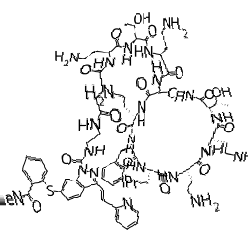 CNC(=O)c1ccccc1Sc1ccc2c(/C=C/c3ccccn3)nn(C(=O)NCCNC(=O)CCC(=O)N[C@@H](CCN)C(=O)N[C@H](C(=O)N[C@@H](CCN)C(=O)N[C@H]3CCNC(=O)[C@H]([C@@H](C)O)NC(=O)[C@H](CCN)NC(=O)[C@H](CCN)NC(=O)[C@H](CC(C)C)NC(=O)[C@@H](Cc4ccccc4)NC(=O)[C@H](CCN)NC3=O)[C@@H](C)O)c2c1